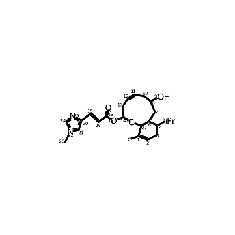 CC1=CCC(C(C)C)C2CC(O)CC=CCC(OC(=O)C=Cc3cn(C)cn3)CC12